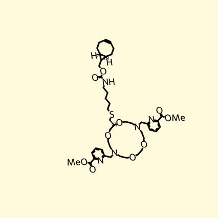 COC(=O)c1cccc(CN2CCOCCOCCN(Cc3cccc(C(=O)OC)n3)CCO[C@H](CSCCCCCNC(=O)OCC3[C@H]4CCC#CCC[C@@H]34)COCC2)n1